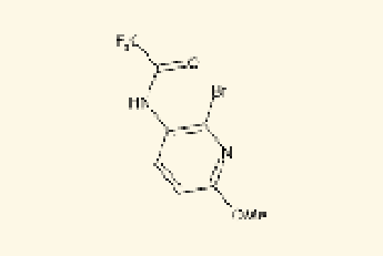 COc1ccc(NC(=O)C(F)(F)F)c(Br)n1